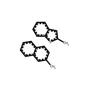 Cc1cc2ccccc2s1.Cc1ccc2ccccc2c1